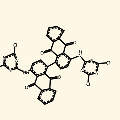 O=C1c2ccccc2C(=O)c2c(-c3ccc(Nc4nc(Cl)nc(Cl)n4)c4c3C(=O)c3ccccc3C4=O)ccc(Nc3nc(Cl)nc(Cl)n3)c21